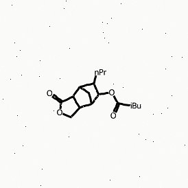 CCCC1C2CC(C3COC(=O)C32)C1OC(=O)C(C)CC